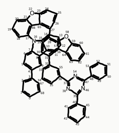 c1ccc(-c2ccc3c(c2)c2ccccc2n3-c2cccc3oc4cccc(-c5ccc(-c6cccc(-c7nc(-c8ccccc8)nc(-c8ccccc8)n7)c6)c6c5oc5ccccc56)c4c23)cc1